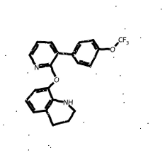 FC(F)(F)Oc1[c]cc(-c2cccnc2Oc2cccc3c2NCCC3)cc1